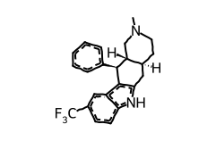 CN1CC[C@H]2Cc3[nH]c4ccc(C(F)(F)F)cc4c3[C@@H](c3ccccc3)[C@@H]2C1